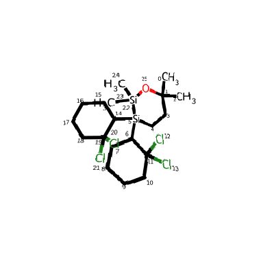 CC1(C)CC[Si](C2CCCCC2(Cl)Cl)(C2CCCCC2(Cl)Cl)[Si](C)(C)O1